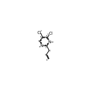 C=CCc1ncc(Cl)c(Cl)n1